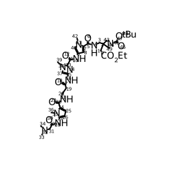 CCOC(=O)CC1(CNC(=O)c2cc(NC(=O)c3nc(NC(=O)CCNC(=O)c4ccc(NC(=O)CN(C)C)n4C)cn3C)cn2C)CN(C(=O)OC(C)(C)C)C1